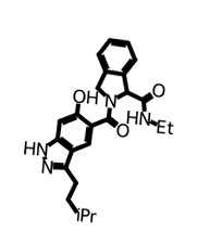 CCNC(=O)C1c2ccccc2CN1C(=O)c1cc2c(CCC(C)C)n[nH]c2cc1O